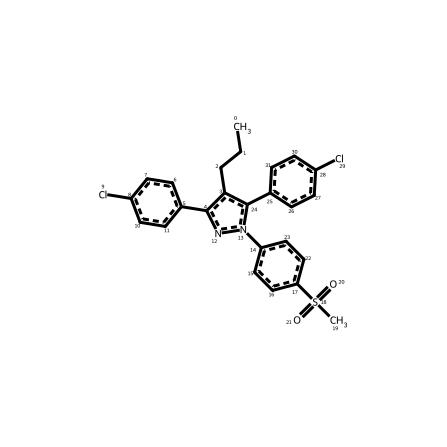 CCCc1c(-c2ccc(Cl)cc2)nn(-c2ccc(S(C)(=O)=O)cc2)c1-c1ccc(Cl)cc1